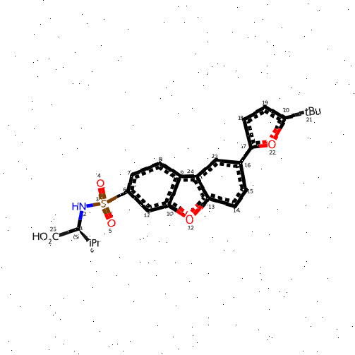 CC(C)[C@H](NS(=O)(=O)c1ccc2c(c1)oc1ccc(-c3ccc(C(C)(C)C)o3)cc12)C(=O)O